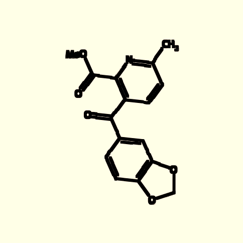 COC(=O)c1nc(C)ccc1C(=O)c1ccc2c(c1)OCO2